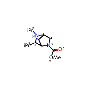 COC(=O)N1CC2CC1[C@@H](C(C)C)N2C(C)C